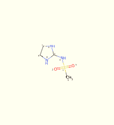 CS(=O)(=O)NC1NCCN1